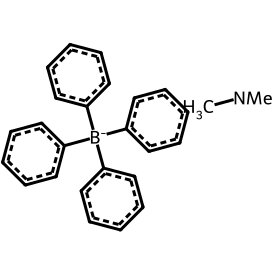 C[NH2+]C.c1ccc([B-](c2ccccc2)(c2ccccc2)c2ccccc2)cc1